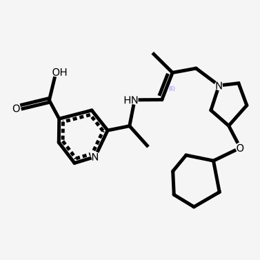 C/C(=C\NC(C)c1cc(C(=O)O)ccn1)CN1CCC(OC2CCCCC2)C1